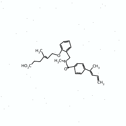 C=C/C=C(\C)c1ccc(C(=O)N(C)Cc2ccccc2OC/C=C(\C)CCC(=O)O)cc1